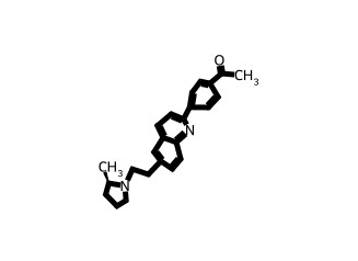 CC(=O)c1ccc(-c2ccc3cc(CCN4CCC[C@H]4C)ccc3n2)cc1